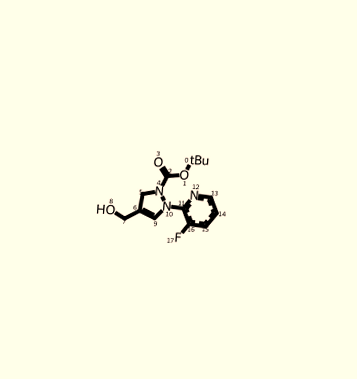 CC(C)(C)OC(=O)N1CC(CO)=CN1c1ncccc1F